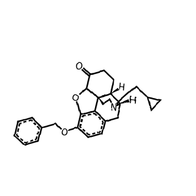 O=C1CC[C@@H]2[C@@H]3Cc4ccc(OCc5ccccc5)c5c4[C@]2(CCN3CC2CC2)C1O5